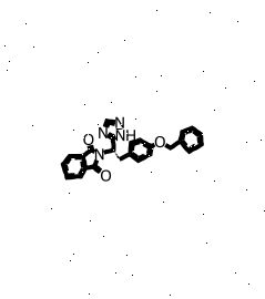 O=C1c2ccccc2C(=O)N1[C@@H](Cc1ccc(OCc2ccccc2)cc1)c1ncn[nH]1